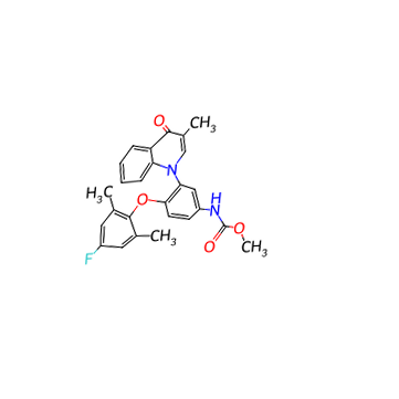 COC(=O)Nc1ccc(Oc2c(C)cc(F)cc2C)c(-n2cc(C)c(=O)c3ccccc32)c1